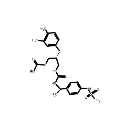 Cc1ccc(C[C@H](CNC(=S)N[C@H](C)c2ccc(NS(C)(=O)=O)cc2)COC(=O)C(C)(C)C)cc1C